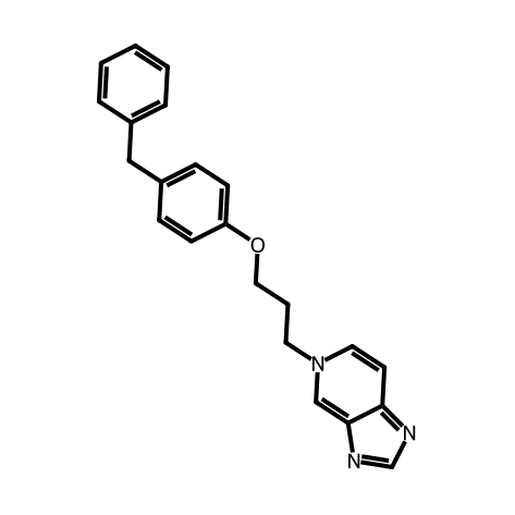 c1ccc(Cc2ccc(OCCCn3ccc4ncnc-4c3)cc2)cc1